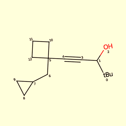 CC(C)(C)C(O)C#CC1(CC2CC2)CCC1